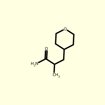 CC(CC1CCOCC1)C(N)=O